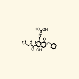 N#Cc1nc(C(=O)NCC2CCC2)c(O)c2ccn(Cc3ccccc3)c(=O)c12.O=C(O)O